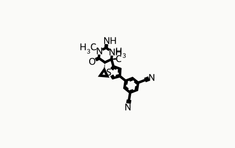 CN1C(=N)N[C@](C)(c2cc(-c3cc(C#N)cc(C#N)c3)cs2)[C@H](C2CC2)C1=O